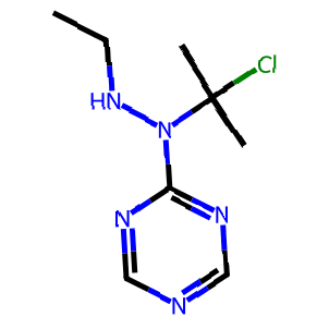 CCNN(c1ncncn1)C(C)(C)Cl